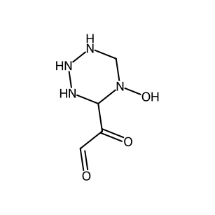 O=CC(=O)C1NNNCN1O